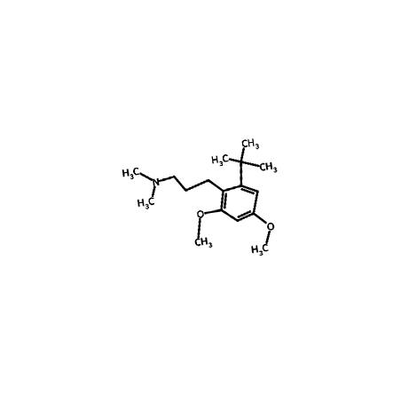 COc1cc(OC)c(CCCN(C)C)c(C(C)(C)C)c1